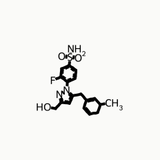 CC1C=C(Cc2cc(CO)nn2-c2ccc(S(N)(=O)=O)cc2F)C=CC1